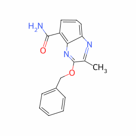 Cc1nc2cccc(C(N)=O)c2nc1OCc1ccccc1